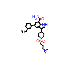 [3H]Cc1cccc(-c2cc(C(N)=O)c3[nH]cc(C4CCN(S(=O)(=O)CCCN(C)C)CC4)c3c2)c1